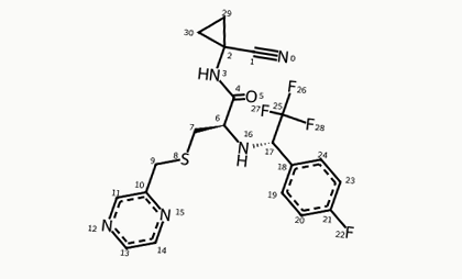 N#CC1(NC(=O)[C@H](CSCc2cnccn2)N[C@@H](c2ccc(F)cc2)C(F)(F)F)CC1